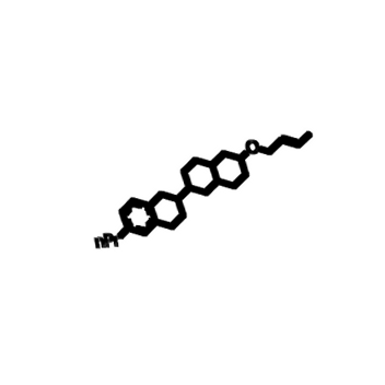 CC=CCOC1CCC2CC(C3CCc4cc(CCC)ccc4C3)CCC2C1